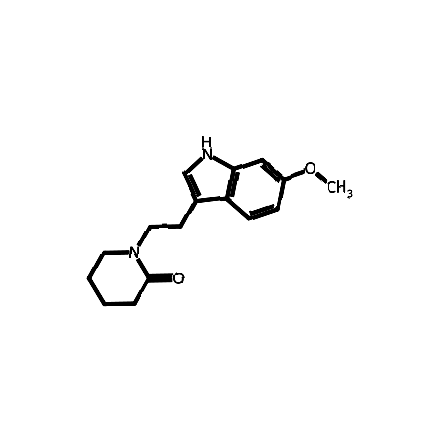 COc1ccc2c(CCN3CCCCC3=O)c[nH]c2c1